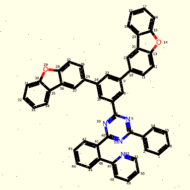 c1ccc(-c2nc(-c3cc(-c4ccc5oc6ccccc6c5c4)cc(-c4ccc5oc6ccccc6c5c4)c3)nc(-c3ccccc3-c3ccccn3)n2)cc1